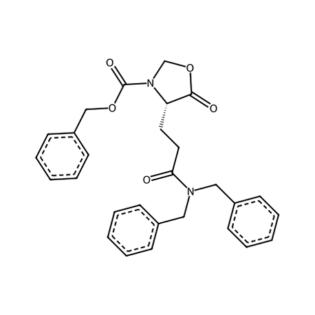 O=C1OCN(C(=O)OCc2ccccc2)[C@H]1CCC(=O)N(Cc1ccccc1)Cc1ccccc1